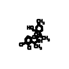 CC(NC(=O)N(C)C1CCN(C)CC1(C)CO)c1cccc(Cl)c1Cl